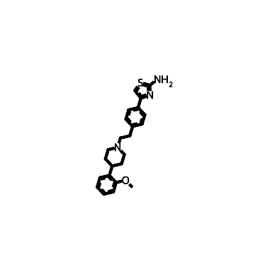 COc1ccccc1C1CCN(CCc2ccc(-c3csc(N)n3)cc2)CC1